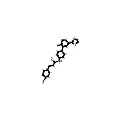 Cc1ccc(-c2ncco2)cc1-c1ccc(NC(=O)C=Cc2ccc(F)cc2)cc1